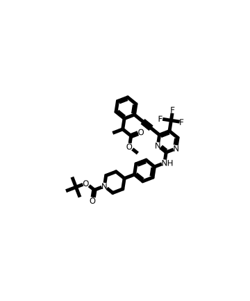 COC(=O)C(C)c1ccccc1C#Cc1nc(Nc2ccc(C3CCN(C(=O)OC(C)(C)C)CC3)cc2)ncc1C(F)(F)F